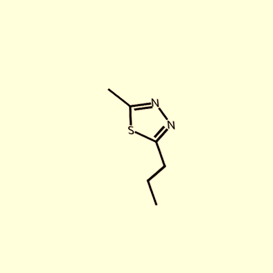 CCCc1nnc(C)s1